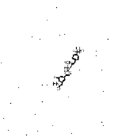 CC(F)(F)c1ccc(C[C@H](N)CNc2ncc(-c3cc(F)c4c(c3)CC(=O)N4)s2)cc1